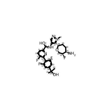 Cn1ncc(NC(O)c2ccc(F)c(-c3c(F)cc(C(C)(C)O)cc3F)n2)c1[C@@H]1CC[C@@H](N)[C@@H](F)CO1